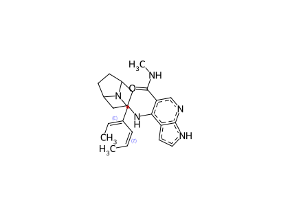 C/C=C\C(=C/C)CN1C2CCC1CC(Nc1c(C(=O)NC)cnc3[nH]ccc13)C2